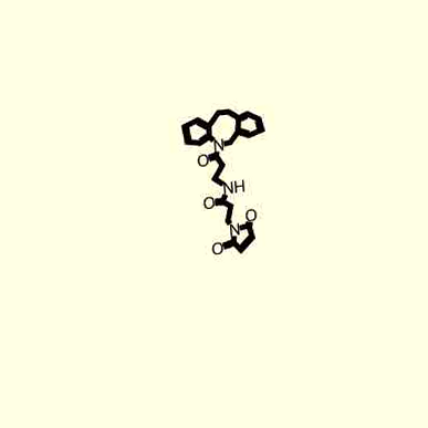 O=C(CCN1C(=O)C=CC1=O)NCCC(=O)N1Cc2ccccc2CCc2ccccc21